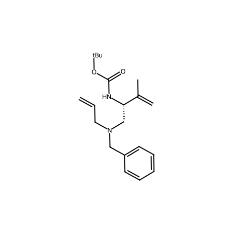 C=CCN(Cc1ccccc1)C[C@H](NC(=O)OC(C)(C)C)C(=C)C